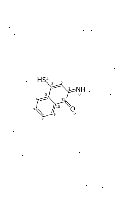 N=C1C=C(S)c2ccccc2C1=O